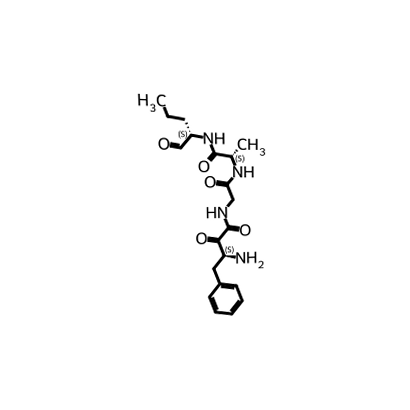 CCC[C@@H](C=O)NC(=O)[C@H](C)NC(=O)CNC(=O)C(=O)[C@@H](N)Cc1ccccc1